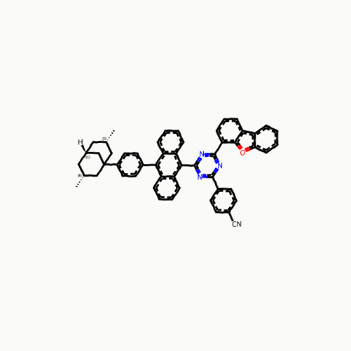 C[C@@H]1C[C@@H]2C[C@H](C)CC(c3ccc(-c4c5ccccc5c(-c5nc(-c6ccc(C#N)cc6)nc(-c6cccc7c6oc6ccccc67)n5)c5ccccc45)cc3)(C1)C2